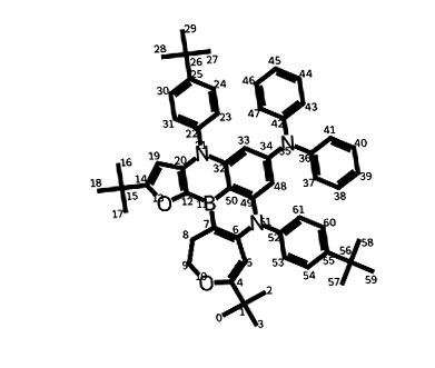 CC(C)(C)C1=CC2=C(CCO1)B1c3oc(C(C)(C)C)cc3N(c3ccc(C(C)(C)C)cc3)c3cc(N(c4ccccc4)c4ccccc4)cc(c31)N2c1ccc(C(C)(C)C)cc1